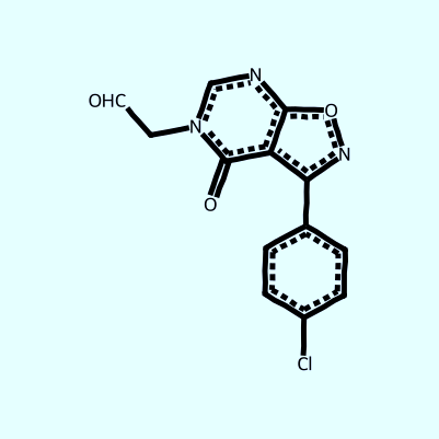 O=CCn1cnc2onc(-c3ccc(Cl)cc3)c2c1=O